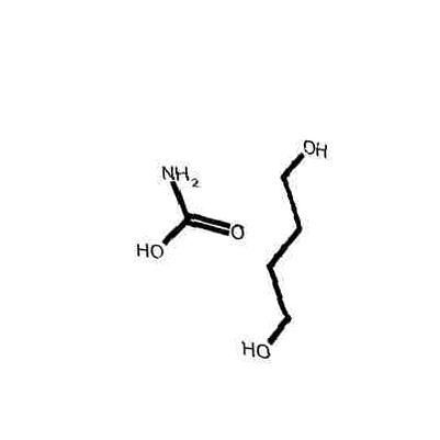 NC(=O)O.OCCCCO